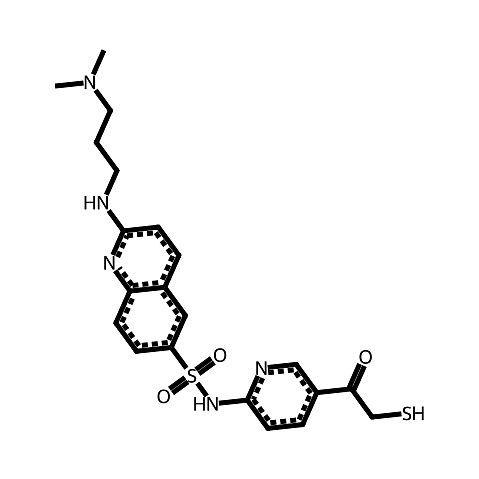 CN(C)CCCNc1ccc2cc(S(=O)(=O)Nc3ccc(C(=O)CS)cn3)ccc2n1